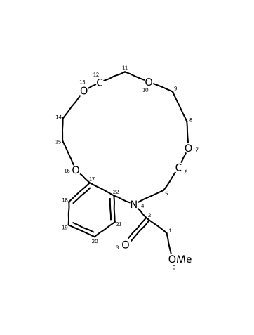 COCC(=O)N1CCOCCOCCOCCOc2ccccc21